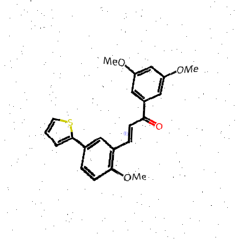 COc1cc(OC)cc(C(=O)/C=C/c2cc(-c3cccs3)ccc2OC)c1